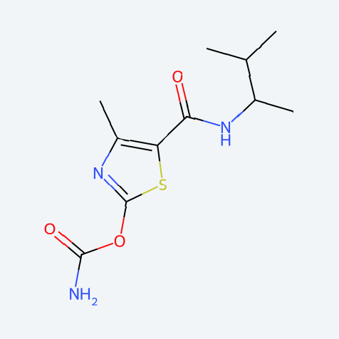 Cc1nc(OC(N)=O)sc1C(=O)NC(C)C(C)C